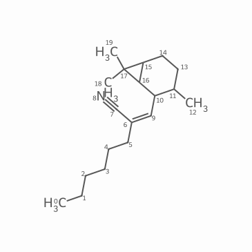 CCCCCCC(C#N)=CC1C(C)CCC2C1C2(C)C